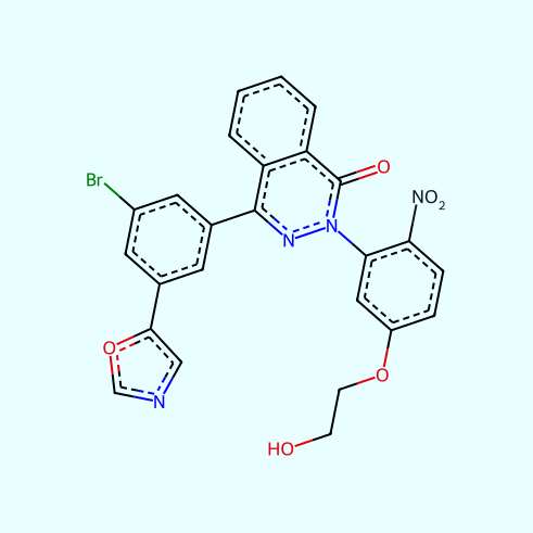 O=c1c2ccccc2c(-c2cc(Br)cc(-c3cnco3)c2)nn1-c1cc(OCCO)ccc1[N+](=O)[O-]